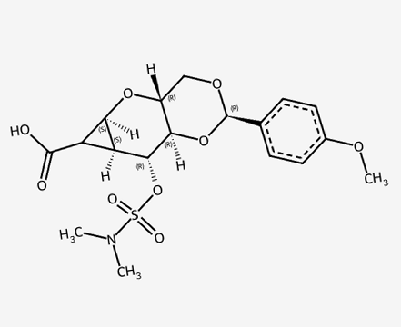 COc1ccc([C@@H]2OC[C@H]3O[C@@H]4C(C(=O)O)[C@@H]4[C@@H](OS(=O)(=O)N(C)C)[C@@H]3O2)cc1